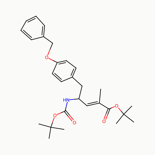 C/C(=C\C(Cc1ccc(OCc2ccccc2)cc1)NC(=O)OC(C)(C)C)C(=O)OC(C)(C)C